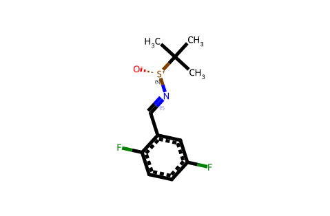 CC(C)(C)[S@@+]([O-])/N=C/c1cc(F)ccc1F